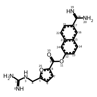 N=C(N)NCc1ccc(C(=O)Oc2ccc3cc(C(=N)N)ccc3c2)o1